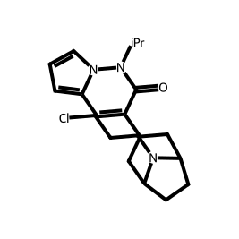 CC(C)n1c(=O)c(C2CC3CCC(C2)N3CCCCl)cc2cccn21